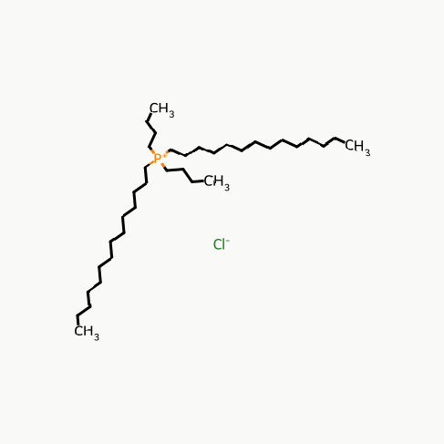 CCCCCCCCCCCCCC[P+](CCCC)(CCCC)CCCCCCCCCCCCCC.[Cl-]